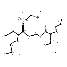 CCCCC(CC)C(=O)OCOC(=O)C(CC)CCCC.OCCO